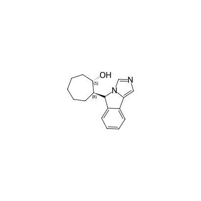 O[C@H]1CCCCC[C@@H]1C1c2ccccc2-c2cncn21